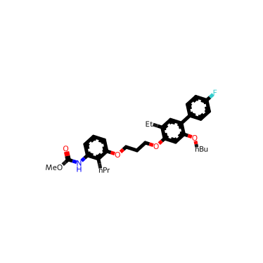 CCCCOc1cc(OCCCOc2cccc(NC(=O)OC)c2CCC)c(CC)cc1-c1ccc(F)cc1